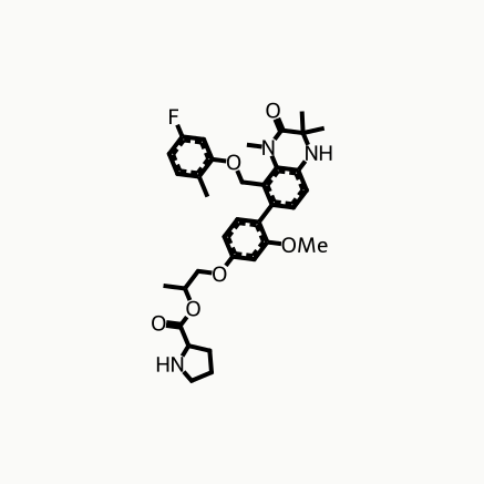 COc1cc(OCC(C)OC(=O)C2CCCN2)ccc1-c1ccc2c(c1COc1cc(F)ccc1C)N(C)C(=O)C(C)(C)N2